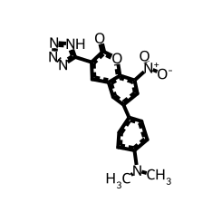 CN(C)c1ccc(-c2cc([N+](=O)[O-])c3oc(=O)c(-c4nnn[nH]4)cc3c2)cc1